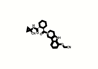 N#CCOc1cccc2c3c([nH]c12)CCN(C(=O)[C@@H]1CCCC[C@H]1C(=O)NC1(C#N)CC1)C3